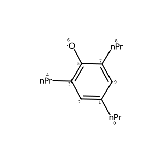 CCCc1cc(CCC)c([O])c(CCC)c1